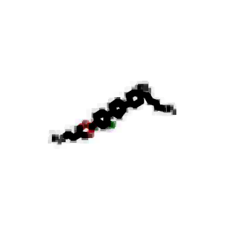 CCCCCC1(C)CCC(c2ccc(-c3ccc(C4OCC(CCC)CO4)cc3F)cc2)CC1